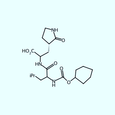 CC(C)CC(NC(=O)OC1CCCCC1)C(=O)NC(C[C@@H]1CCNC1=O)C(=O)O